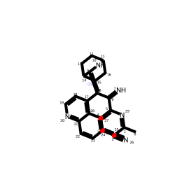 Cc1cccc(C(=N)/C(=C2\NC3CCC2CC3)c2ccnc3ccc(C#N)cc23)n1